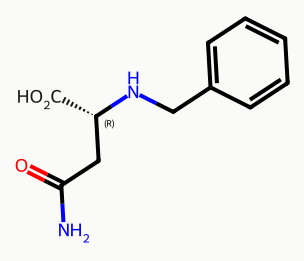 NC(=O)C[C@@H](NCc1ccccc1)C(=O)O